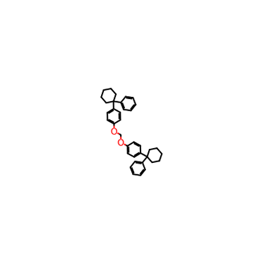 c1ccc(C2(c3ccc(OCOc4ccc(C5(c6ccccc6)CCCCC5)cc4)cc3)CCCCC2)cc1